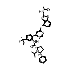 CC(=O)Nc1nc2c(Oc3cc(-c4ccc(C(F)(F)F)cc4NC(=O)[C@@H]4CC[C@H](c5ccccc5)N4C(C)C)ncn3)cccc2s1